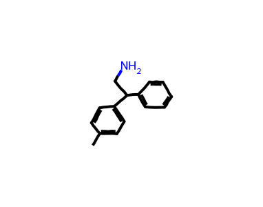 Cc1ccc(C(CN)c2ccccc2)cc1